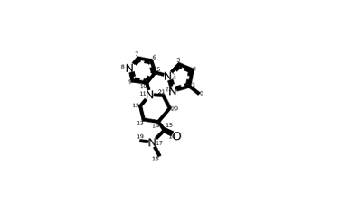 Cc1ccn(-c2ccncc2N2CCC(C(=O)N(C)C)CC2)n1